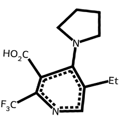 CCc1cnc(C(F)(F)F)c(C(=O)O)c1N1CCCC1